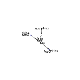 CCCCCCC(C/C=C/CCCCCCCC(=O)COCC(COCC(=O)CCCCCCC/C=C/CC(CCCCCC)OC)OCC(=O)CCCCCCCCCCC(CCCCCC)OC)OC